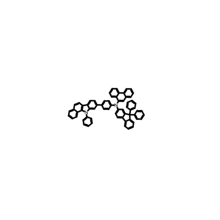 c1ccc(-n2c3cc(-c4ccc(N(c5ccc6c(c5)C(c5ccccc5)(c5ccccc5)c5ccccc5-6)c5cc6ccccc6c6ccccc56)cc4)ccc3c3ccc4ccccc4c32)cc1